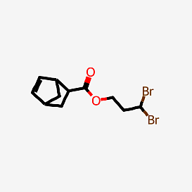 O=C(OCCC(Br)Br)C1CC2C=CC1C2